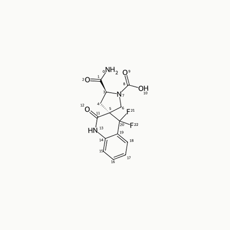 NC(=O)[C@@H]1C[C@@]2(CN1C(=O)O)C(=O)Nc1ccccc1C2(F)F